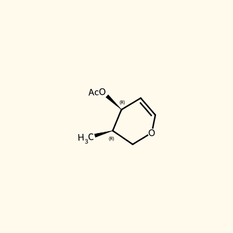 CC(=O)O[C@H]1C=COC[C@H]1C